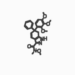 COc1ccc(C2(c3ccccc3)C=Cc3c(C(=O)N(C)OC)n[nH]c3C2)c(OC)c1OC